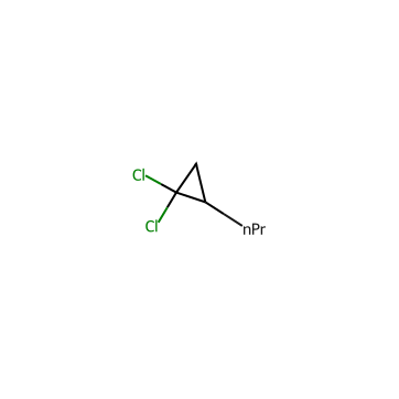 [CH2]CCC1CC1(Cl)Cl